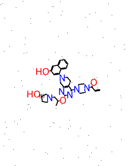 C=CC(=O)N1CCN(c2nc(OC(C)CN3CC[C@H](O)C3)nc3c2CCN(c2cc(O)cc4ccccc24)C3)CC1